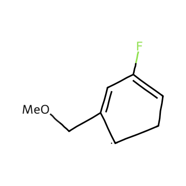 COCC1=CC(F)=CC[CH]1